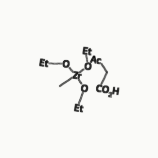 CC(=O)CC(=O)O.CC[O][Zr]([CH3])([O]CC)[O]CC